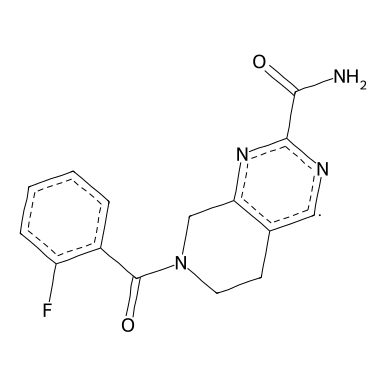 NC(=O)c1n[c]c2c(n1)CN(C(=O)c1ccccc1F)CC2